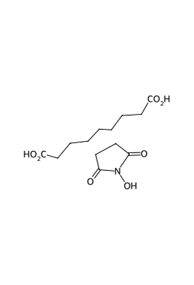 O=C(O)CCCCCCCC(=O)O.O=C1CCC(=O)N1O